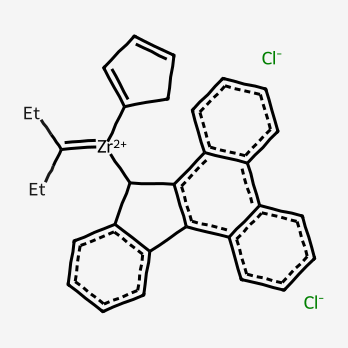 CC[C](CC)=[Zr+2]([C]1=CC=CC1)[CH]1c2ccccc2-c2c1c1ccccc1c1ccccc21.[Cl-].[Cl-]